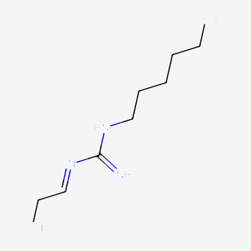 CCC=NC(=N)NCCCCCC